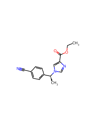 CCOC(=O)c1cn([C@@H](C)c2ccc(C#N)cc2)cn1